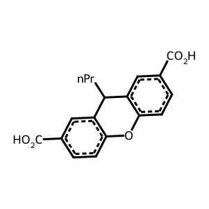 CCCC1c2cc(C(=O)O)ccc2Oc2ccc(C(=O)O)cc21